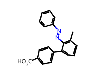 Cc1cccc(-c2ccc(C(=O)O)cc2)c1N=Nc1ccccc1